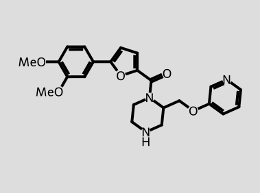 COc1ccc(-c2ccc(C(=O)N3CCNCC3COc3cccnc3)o2)cc1OC